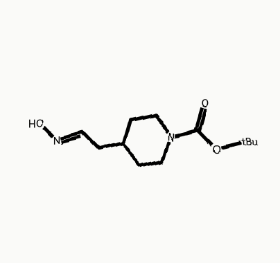 CC(C)(C)OC(=O)N1CCC(C/C=N/O)CC1